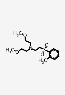 COCCN(CCOC)CCS(=O)(=O)c1ccccc1C